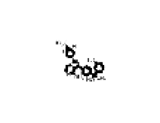 CC(O)(c1ccc(-c2nc([C@H]3C[C@@H]4[C@H](C3)[C@H]4C(=O)O)n3ccnc(N)c23)cc1)c1cccc(C(F)(F)F)c1